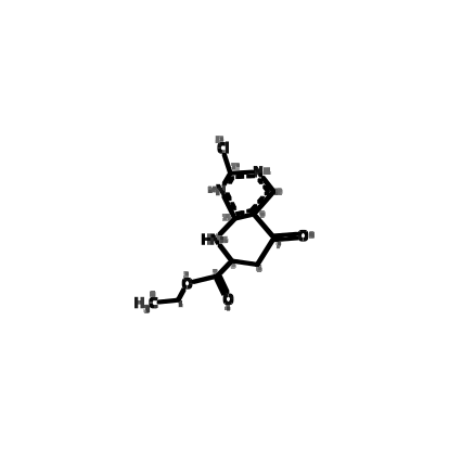 CCOC(=O)C1CC(=O)c2cnc(Cl)nc2N1